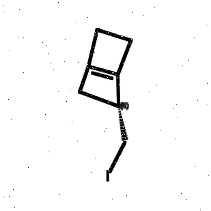 IC[C@@H]1CC2=C1CC2